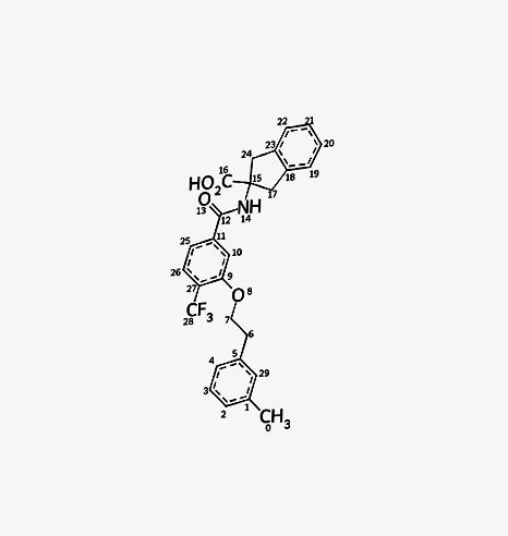 Cc1cccc(CCOc2cc(C(=O)NC3(C(=O)O)Cc4ccccc4C3)ccc2C(F)(F)F)c1